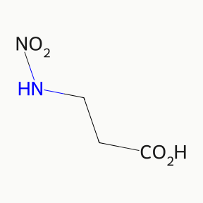 O=C(O)CCN[N+](=O)[O-]